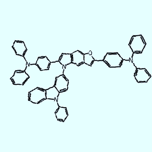 c1ccc(N(c2ccccc2)c2ccc(-c3cc4cc5c(cc(-c6ccc(N(c7ccccc7)c7ccccc7)cc6)n5-c5ccc6c(c5)c5ccccc5n6-c5ccccc5)cc4o3)cc2)cc1